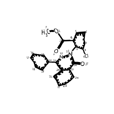 COC(=O)c1cccc(Cl)c1-n1nc(-c2ccccc2)c2ccccc2c1=O